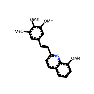 COc1cc(/C=C/c2ccc3cccc(OC)c3n2)cc(OC)c1OC